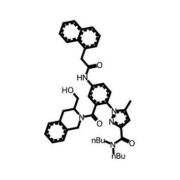 CCCCN(CCCC)C(=O)c1cc(C)n(-c2ccc(NC(=O)Cc3cccc4ccccc34)cc2C(=O)N2Cc3ccccc3CC2CO)n1